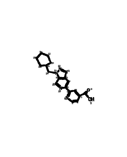 O=C(O)c1ccnc(-c2cc3nnn(CC4CCCCC4)c3cn2)c1